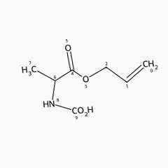 C=CCOC(=O)C(C)NC(=O)O